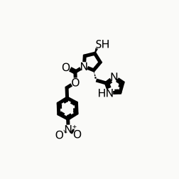 O=C(OCc1ccc([N+](=O)[O-])cc1)N1C[C@@H](S)C[C@@H]1Cc1ncc[nH]1